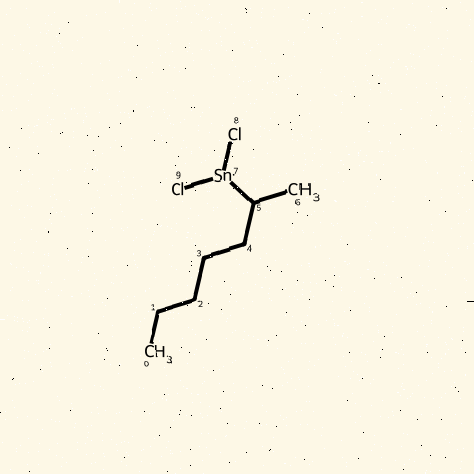 CCCCC[CH](C)[Sn]([Cl])[Cl]